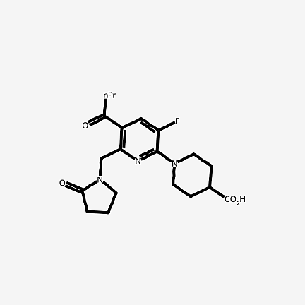 CCCC(=O)c1cc(F)c(N2CCC(C(=O)O)CC2)nc1CN1CCCC1=O